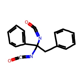 O=C=NC(Cc1ccccc1)(N=C=O)c1ccccc1